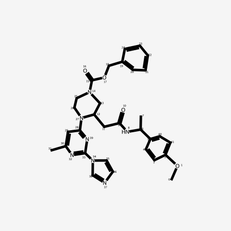 COc1ccc(C(C)NC(=O)CC2CN(C(=O)OCc3ccccc3)CCN2c2cc(C)nc(-n3ccnc3)n2)cc1